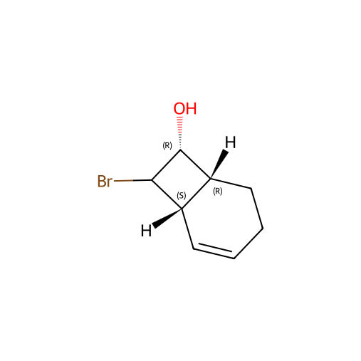 O[C@H]1C(Br)[C@H]2C=CCC[C@H]21